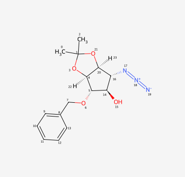 CC1(C)O[C@@H]2[C@@H](OCc3ccccc3)[C@H](O)[C@@H](N=[N+]=[N-])[C@@H]2O1